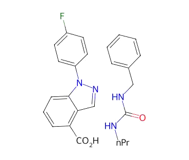 CCCNC(=O)NCc1ccccc1.O=C(O)c1cccc2c1cnn2-c1ccc(F)cc1